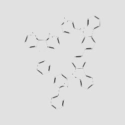 c1ccc(-c2cc(-c3ccccc3)nc(-n3c4ccccc4c4cc(-c5ccc6c7ccccc7n(-c7cncc(-c8ccc9oc%10cccnc%10c9n8)c7)c6c5)ccc43)c2)cc1